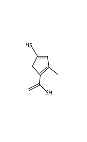 C=C(S)C1=C(C)C=C(S)C1